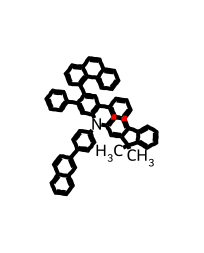 CC1(C)c2ccccc2-c2ccc(N(c3ccc(-c4ccc5ccccc5c4)cc3)c3cc(-c4ccccc4)c(-c4cccc5ccc6ccccc6c45)cc3-c3ccccc3)cc21